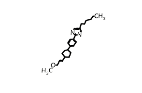 CCCCCCc1cnc(-c2ccc(C3CCC(C=CCOC)CC3)cc2)nc1